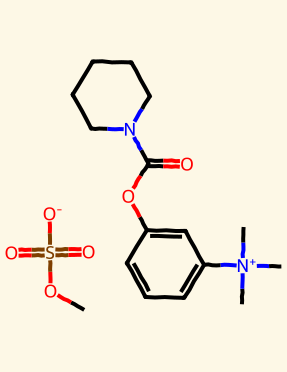 COS(=O)(=O)[O-].C[N+](C)(C)c1cccc(OC(=O)N2CCCCC2)c1